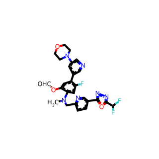 CN(Cc1ccc(-c2nnc(C(F)F)o2)cn1)c1cc(F)c(-c2cncc(N3CCOCC3)c2)cc1OC=O